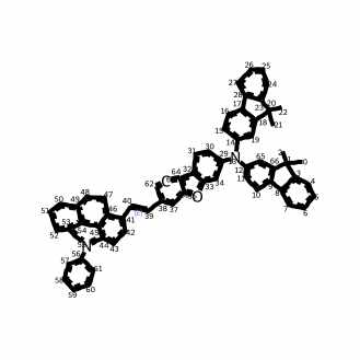 CC1(C)c2ccccc2-c2ccc(N(c3ccc4c(c3)C(C)(C)c3ccccc3-4)c3ccc4c(c3)oc3cc(/C=C/c5ccc6c7c5ccc5cccc(c57)n6-c5ccccc5)ccc34)cc21